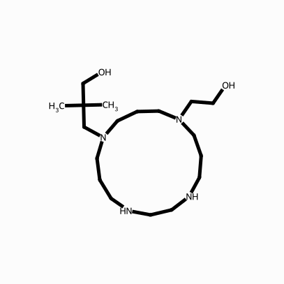 CC(C)(CO)CN1CCCNCCNCCCN(CCO)CCC1